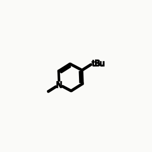 CN1C=CC(C(C)(C)C)=CC1